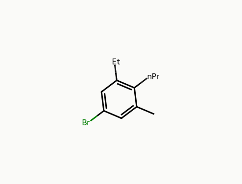 CCCc1c(C)cc(Br)cc1CC